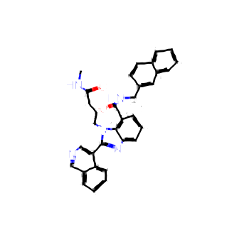 CNC(=O)CCCn1c(-c2cncc3ccccc23)nc2cccc(C(=O)N[C@@H](C)c3ccc4ccccc4c3)c21